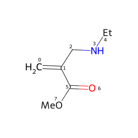 C=C(CNCC)C(=O)OC